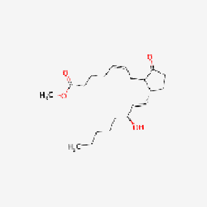 CCCCC[C@H](O)/C=C/[C@H]1CCC(=O)[C@@H]1C/C=C\CCCC(=O)OC